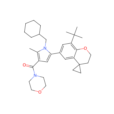 Cc1c(C(=O)N2CCOCC2)cc(-c2cc(C(C)(C)C)c3c(c2)C2(CCO3)CC2)n1CC1CCCCC1